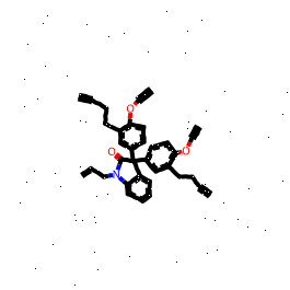 C#CCCc1cc(C2(c3ccc(OC#C)c(CCC#C)c3)C(=O)N(CC=C)c3ccccc32)ccc1OC#C